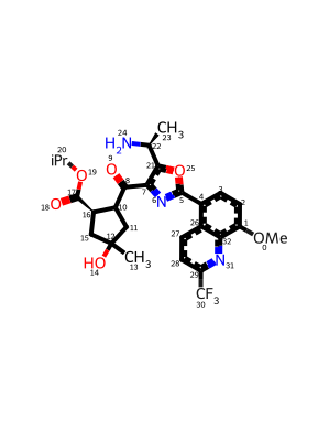 COc1ccc(-c2nc(C(=O)C3CC(C)(O)C[C@H]3C(=O)OC(C)C)c([C@H](C)N)o2)c2ccc(C(F)(F)F)nc12